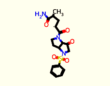 CC(C[CH]C(=O)N1CCC2C1C(=O)CN2S(=O)(=O)c1ccccc1)C(N)=O